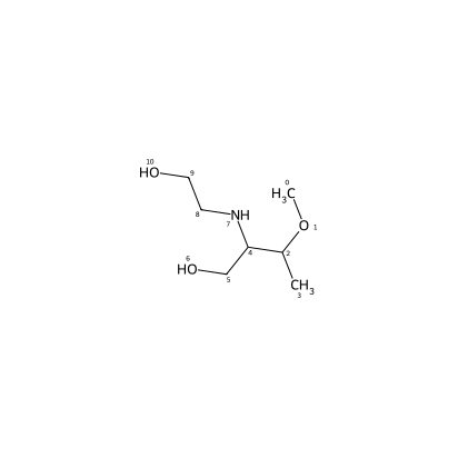 COC(C)C(CO)NCCO